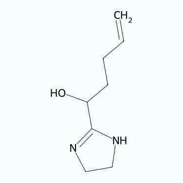 C=CCCC(O)C1=NCCN1